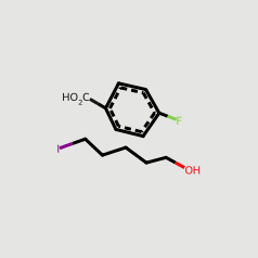 O=C(O)c1ccc(F)cc1.OCCCCCI